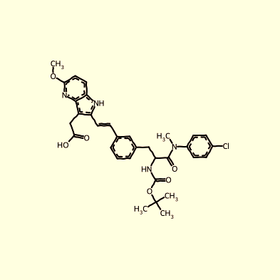 COc1ccc2[nH]c(C=Cc3cccc(CC(NC(=O)OC(C)(C)C)C(=O)N(C)c4ccc(Cl)cc4)c3)c(CC(=O)O)c2n1